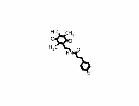 CC1=C(C)C(=O)C(CCNC(=O)CCc2ccc(F)cc2)=C(C)C1=O